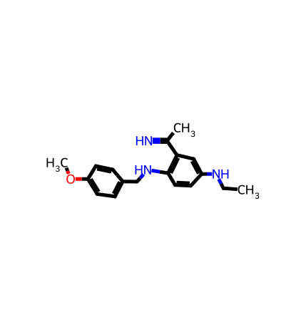 CCNc1ccc(NCc2ccc(OC)cc2)c(C(C)=N)c1